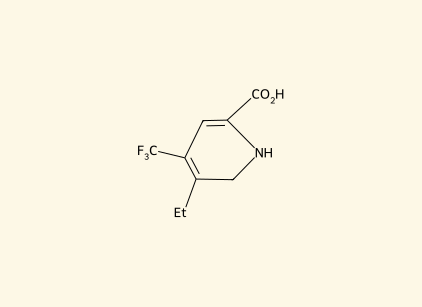 CCC1=C(C(F)(F)F)C=C(C(=O)O)NC1